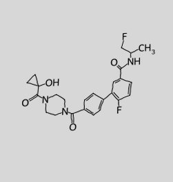 CC(CF)NC(=O)c1ccc(F)c(-c2ccc(C(=O)N3CCN(C(=O)C4(O)CC4)CC3)cc2)c1